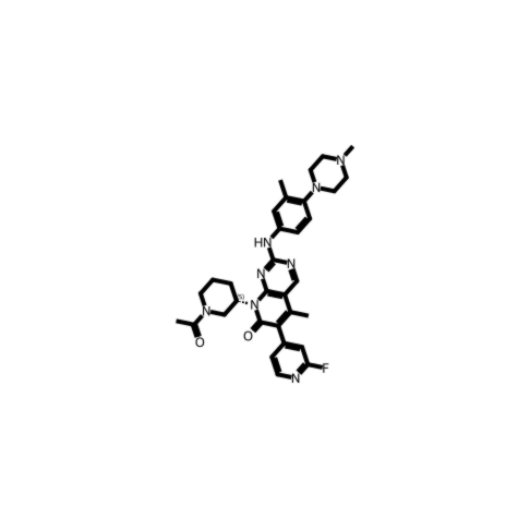 CC(=O)N1CCC[C@H](n2c(=O)c(-c3ccnc(F)c3)c(C)c3cnc(Nc4ccc(N5CCN(C)CC5)c(C)c4)nc32)C1